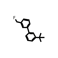 CC(C)(C)c1cccc(-c2cccc(CF)c2)c1